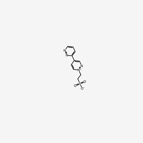 O=S(=O)([O-])CC[n+]1ccc(-c2cccnn2)cn1